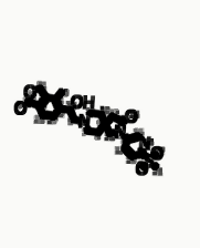 Cc1c(C(O)CN2CCC3(CC2)CC(=O)N(c2ccc(S(C)(=O)=O)nc2)C3)ccc2c1COC2=O